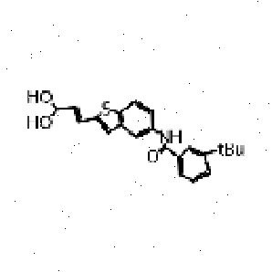 CC(C)(C)c1cccc(C(=O)Nc2ccc3sc(/C=C/C(O)O)cc3c2)c1